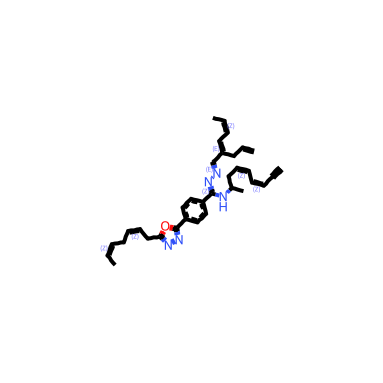 C#C/C=C\C=C/CC(C)N\C(=N/N=C/C(=C/C=C\C)CC=C)c1ccc(-c2nnc(C/C=C\C/C=C\C)o2)cc1